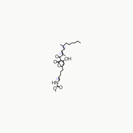 CCCCCC/C(C)=C/C=C(\C)C(=O)c1c(O)cc(CCC/C=C/NC(=O)OC)oc1=O